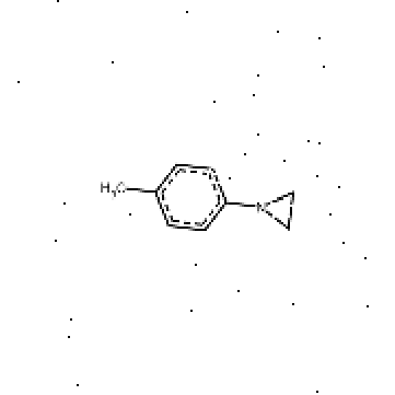 Cc1ccc(N2CC2)cc1